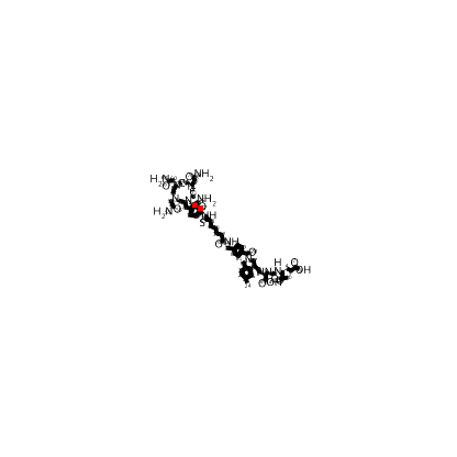 CC(=O)[C@@H](CCC(=O)O)NC(=O)N[C@H](CCCCN(Cc1ccc(C)cc1)C(=O)c1ccc(CNC(=O)CCCCCC(=S)Nc2ccc(CC3CN(CC(N)=O)CCN(CC(N)=O)CCN(CC(N)=O)CCN3CC(N)=O)cc2)cc1)C(=O)O